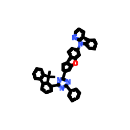 CC1(C)c2ccccc2-c2cccc(-c3nc(-c4ccccc4)nc(-c4ccc5c(c4)oc4cc(-n6c7ccccc7c7cccnc76)ccc45)n3)c21